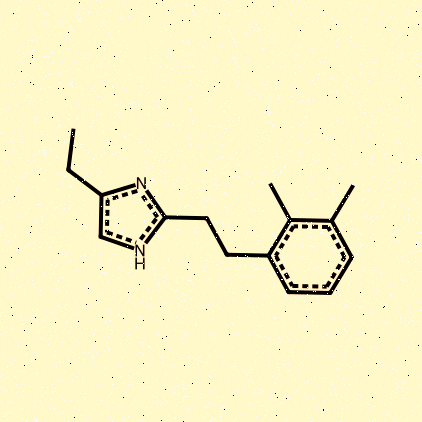 CCc1c[nH]c(CCc2cccc(C)c2C)n1